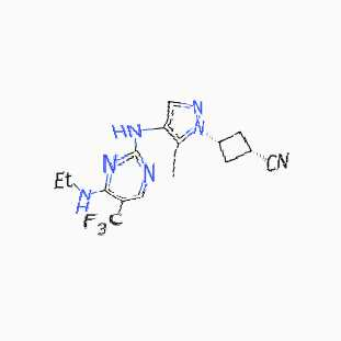 CCNc1nc(Nc2cnn([C@H]3C[C@@H](C#N)C3)c2C)ncc1C(F)(F)F